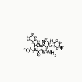 COCCNC(=O)c1nc(N)c2cc(Cc3ccc(F)cc3)cnc2c1OCc1ccccc1